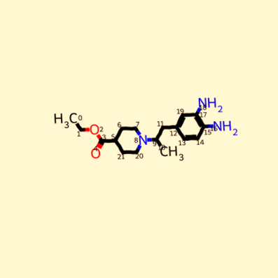 CCOC(=O)C1CCN(C(C)Cc2ccc(N)c(N)c2)CC1